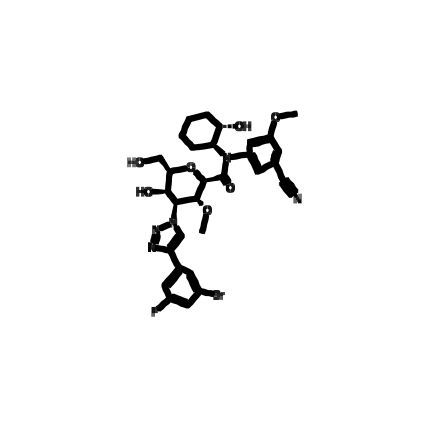 COc1cc(C#N)cc(N(C(=O)[C@@H]2O[C@H](CO)[C@H](O)[C@H](n3cc(-c4cc(F)cc(Br)c4)nn3)[C@H]2OC)[C@H]2CCCC[C@@H]2O)c1